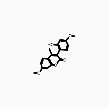 COc1ccc(-c2c(C)c3ccc(OC)cc3oc2=O)c(O)c1